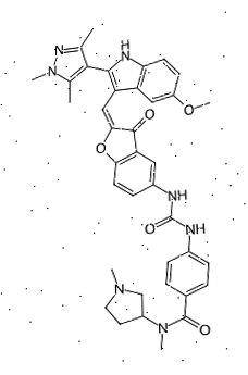 COc1ccc2[nH]c(-c3c(C)nn(C)c3C)c(C=C3Oc4ccc(NC(=O)Nc5ccc(C(=O)N(C)C6CCN(C)C6)cc5)cc4C3=O)c2c1